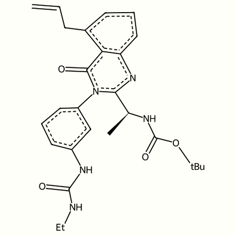 C=CCc1cccc2nc([C@H](C)NC(=O)OC(C)(C)C)n(-c3cccc(NC(=O)NCC)c3)c(=O)c12